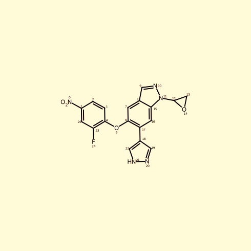 O=[N+]([O-])c1ccc(Oc2cc3cnn(C4CO4)c3cc2-c2cn[nH]c2)c(F)c1